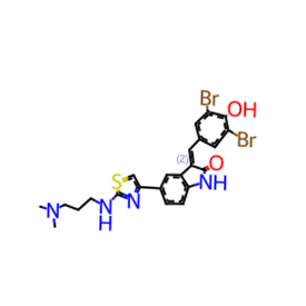 CN(C)CCCNc1nc(-c2ccc3c(c2)/C(=C/c2cc(Br)c(O)c(Br)c2)C(=O)N3)cs1